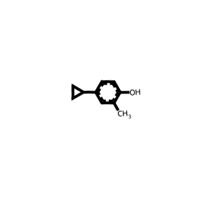 Cc1cc(C2CC2)ccc1O